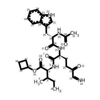 CCC(C)[C@H](NC(=O)[C@H](CCC(=O)C=N)NC(=O)[C@H](Cc1c[nH]c2ccccc12)NC(C)=O)C(=O)OC1CCC1